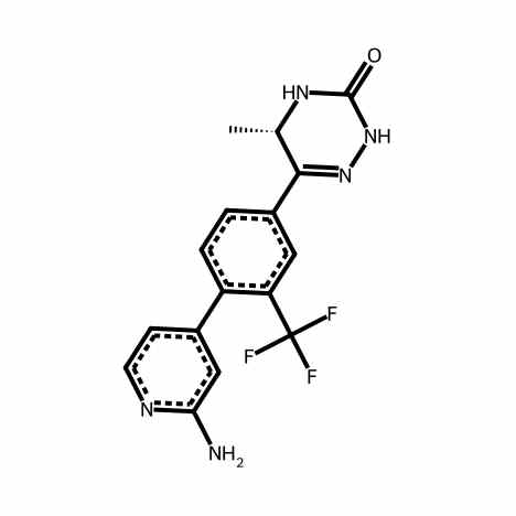 C[C@@H]1NC(=O)NN=C1c1ccc(-c2ccnc(N)c2)c(C(F)(F)F)c1